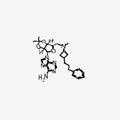 CN(C[C@H]1O[C@@H](n2cnc3c(N)ncnc32)[C@@H]2OC(C)(C)O[C@@H]21)C1CC(CCCc2ccccc2)C1